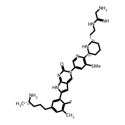 CSc1cc(-n2cc3cc(-c4cc(CCC[C@H](C)N)cc(C)c4F)[nH]c3nc2=O)cnc1[C@@H]1CCC[C@@H](CCNC(=N)CN)N1